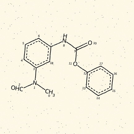 CN(C=O)c1cccc(NC(=O)Oc2ccccc2)c1